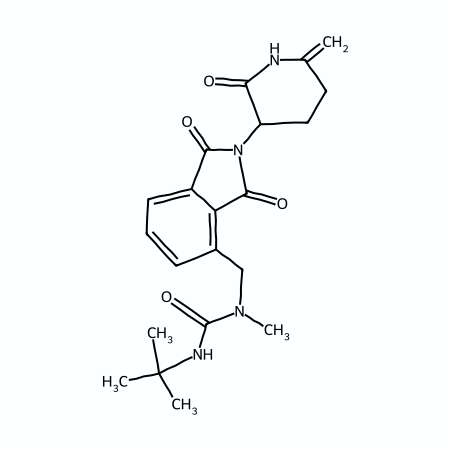 C=C1CCC(N2C(=O)c3cccc(CN(C)C(=O)NC(C)(C)C)c3C2=O)C(=O)N1